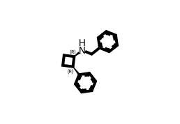 c1ccc(CN[C@@H]2CC[C@@H]2c2ccccc2)cc1